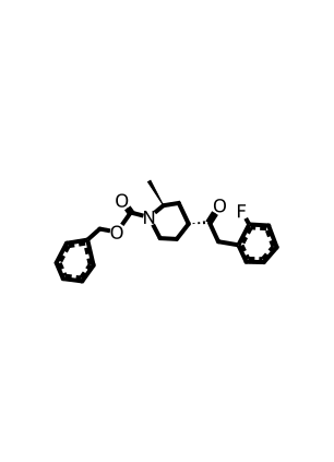 C[C@H]1C[C@H](C(=O)Cc2ccccc2F)CCN1C(=O)OCc1ccccc1